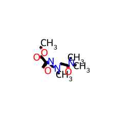 CCOC(=O)c1coc(N(C)CC(=O)N(C)C)n1